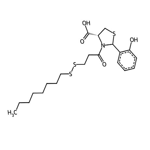 CCCCCCCCSSCCC(=O)N1C(c2ccccc2O)SC[C@H]1C(=O)O